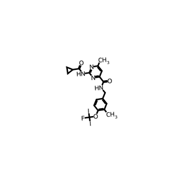 Cc1cc(C(=O)NCc2ccc(OC(F)(I)I)c(C)c2)nc(NC(=O)C2CC2)n1